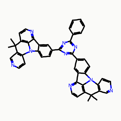 CC1(C)c2cnccc2-n2c3ccc(-c4nc(-c5ccccc5)nc(-c5ccc6c(c5)c5nccc7c5n6-c5ccncc5C7(C)C)n4)cc3c3nccc1c32